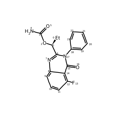 CC[C@H](OC(N)=O)c1nc2cccc(F)c2c(=O)n1-c1ccccc1